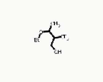 CCOC(C)C(CO)C(F)(F)F